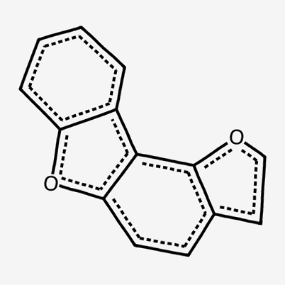 c1ccc2c(c1)oc1ccc3ccoc3c12